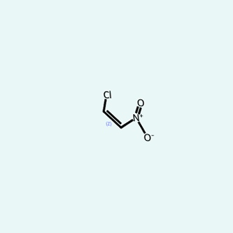 O=[N+]([O-])/C=C\Cl